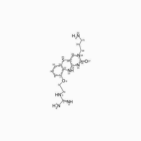 N=C(N)NCCOc1cccc2c1Nc1nc(=O)n(CCCN)cc1S2